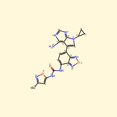 CC(C)(C)c1cc(NC(=O)Nc2ccc(-c3cn(C4CC4)c4ncnc(N)c34)c3nonc23)on1